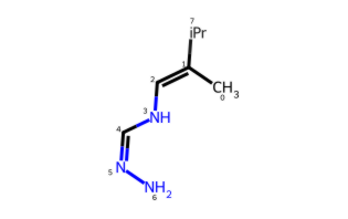 C/C(=C\N/C=N\N)C(C)C